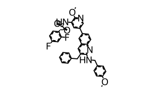 COc1ccc(CNc2nc3ccc(-c4cnc(OC)c(NS(=O)(=O)c5ccc(F)cc5F)c4)cc3cc2Cc2ccccc2)cc1